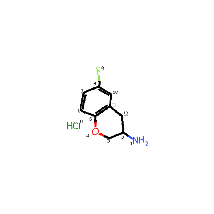 Cl.NC1COc2ccc(F)cc2C1